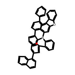 c1ccc(-c2ccc(-c3ccccc3N(c3ccc4c(c3)oc3ccccc34)c3ccccc3-c3cccc(-c4cccc5ccccc45)c3)cc2)cc1